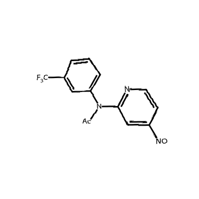 CC(=O)N(c1cccc(C(F)(F)F)c1)c1cc(N=O)ccn1